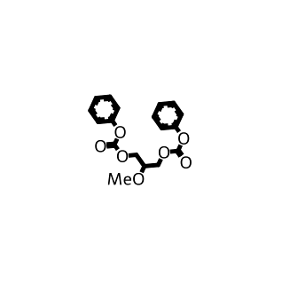 COC(COC(=O)Oc1ccccc1)COC(=O)Oc1ccccc1